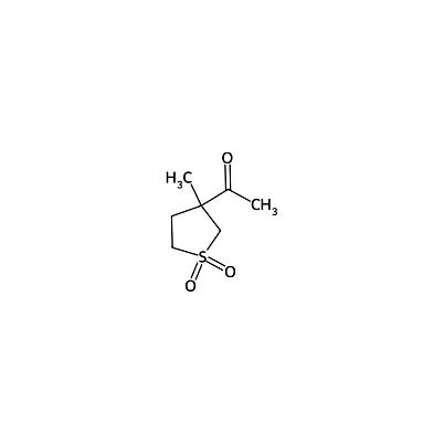 CC(=O)C1(C)CCS(=O)(=O)C1